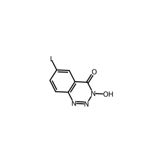 O=c1c2cc(I)ccc2nnn1O